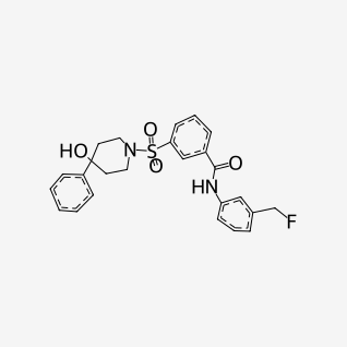 O=C(Nc1cccc(CF)c1)c1cccc(S(=O)(=O)N2CCC(O)(c3ccccc3)CC2)c1